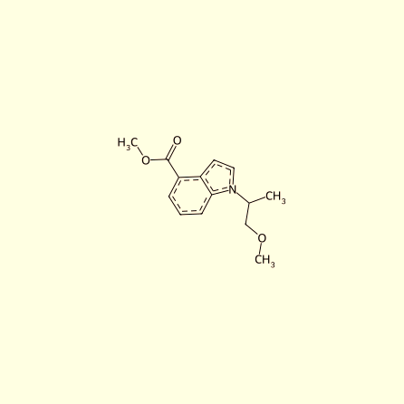 COCC(C)n1ccc2c(C(=O)OC)cccc21